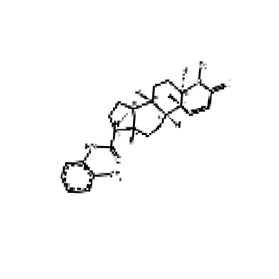 CCN1C(=O)C=C[C@]2(C)[C@H]3CC[C@]4(C)[C@@H](C(=O)Nc5ccccc5C(F)(F)F)CC[C@H]4[C@@H]3CC[C@@H]12